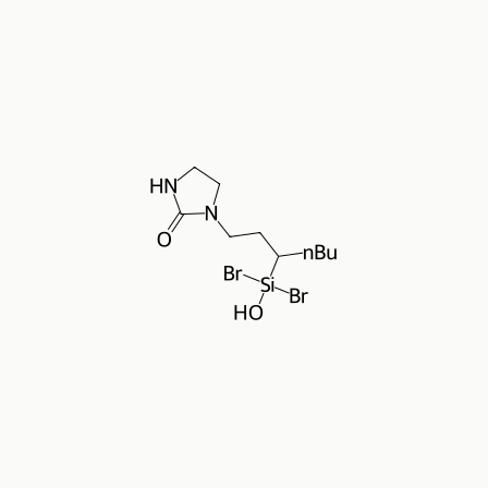 CCCCC(CCN1CCNC1=O)[Si](O)(Br)Br